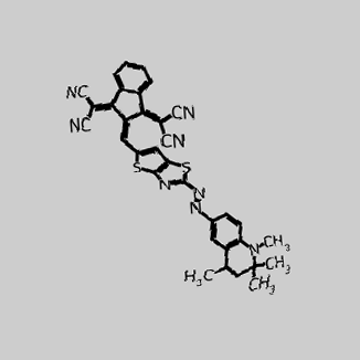 CC1CC(C)(C)N(C)c2ccc(/N=N/c3nc4sc(C=C5C(=C(C#N)C#N)c6ccccc6C5=C(C#N)C#N)cc4s3)cc21